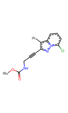 CC(C)c1c(C#CCNC(=O)OC(C)(C)C)nn2c(Cl)cccc12